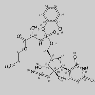 CCCOC(=O)[C@H](C)NP(=O)(OC[C@H]1O[C@@H](n2ccc(=O)[nH]c2=O)[C@](C)(N=[N+]=[N-])[C@@H]1O)Oc1ccccc1Cl